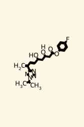 C=C(C=CC(O)CC(O)CC(=O)Oc1ccc(F)cc1)c1nnn(C(C)C)n1